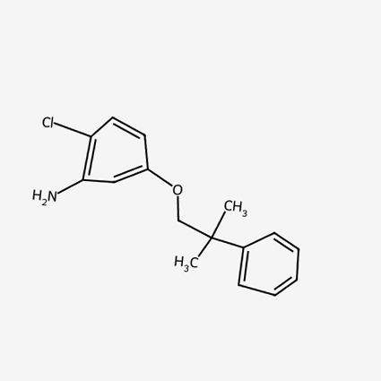 CC(C)(COc1ccc(Cl)c(N)c1)c1ccccc1